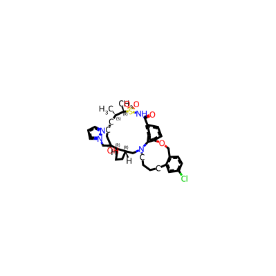 C[C@@H]1[C@@H](C)CCC[C@@](O)(Cn2cccn2)[C@@H]2CC[C@H]2CN2CCCCc3cc(Cl)ccc3COc3ccc(cc32)C(=O)NS1(=O)=O